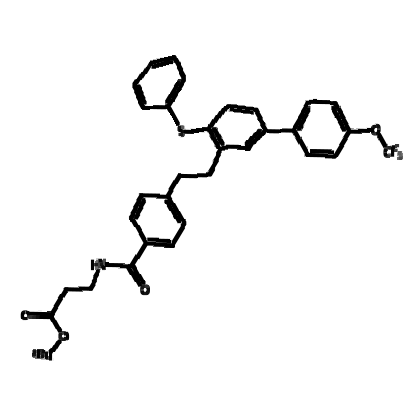 CC(C)(C)OC(=O)CCNC(=O)c1ccc(CCc2cc(-c3ccc(OC(F)(F)F)cc3)ccc2Sc2ccccc2)cc1